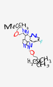 COC1(C)COCc2c(-c3ccnc4c3cnn4COCC[Si](C)(C)C)c(-c3ccc(F)cn3)nn2C1